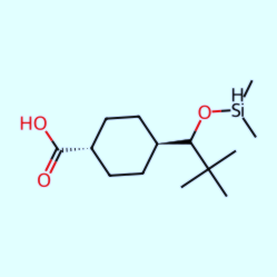 C[SiH](C)OC([C@H]1CC[C@H](C(=O)O)CC1)C(C)(C)C